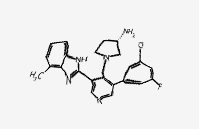 Cc1cccc2[nH]c(-c3cncc(-c4cc(F)cc(Cl)c4)c3N3CC[C@H](N)C3)nc12